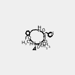 C[C@@H]1CN[C@@H](C2CC2)C(=O)N(C)[C@H](C)C(=O)N=N[C@H](Cc2cccnc2)C(=O)NCCCc2cccc(F)c2O1